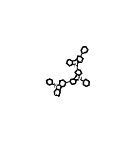 c1ccc(-c2ccc3c(c2)c2ccccc2n3-c2ccc3c(c2)c2cc(-c4ccc5c(c4)c4ccccc4n5-c4ccccc4)ccc2n3-c2ccccc2)cc1